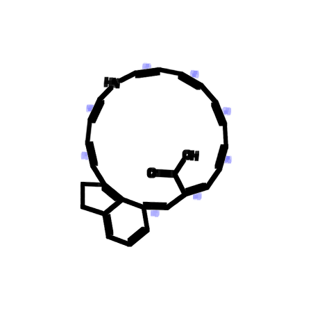 O=C(O)C1=C\C=C/C=C\C=C/C=C\N/C=C\C=C/C2=c3c(ccc\c3=C\1)CC2